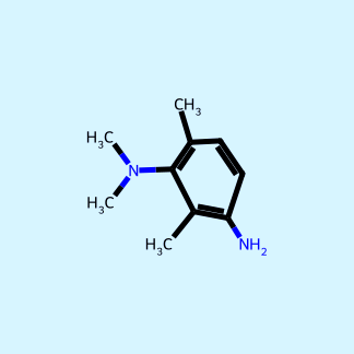 Cc1ccc(N)c(C)c1N(C)C